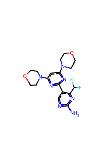 Nc1ncc(-c2nc(N3CCOCC3)cc(N3CCOCC3)n2)c(C(F)F)n1